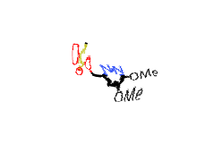 COc1cc(COS(C)(=O)=O)nnc1OC